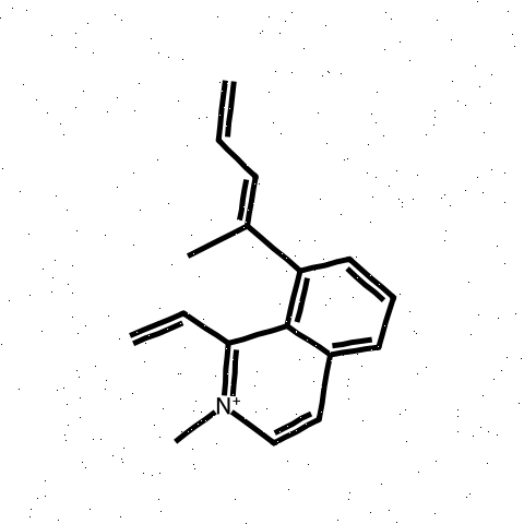 C=C/C=C(\C)c1cccc2cc[n+](C)c(C=C)c12